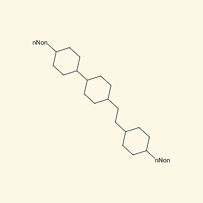 CCCCCCCCCC1CCC(CCC2CCC(C3CCC(CCCCCCCCC)CC3)CC2)CC1